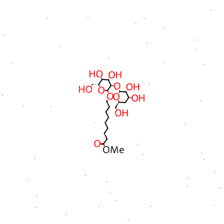 COC(=O)CCCCCCCCO[C@H]1O[C@H](CO)[C@@H](O)[C@H](O)[C@H]1O[C@H]1O[C@H](CO)C[C@H](O)[C@H]1O